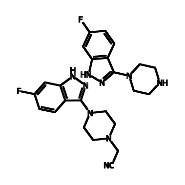 Fc1ccc2c(N3CCNCC3)n[nH]c2c1.N#CCN1CCN(c2n[nH]c3cc(F)ccc23)CC1